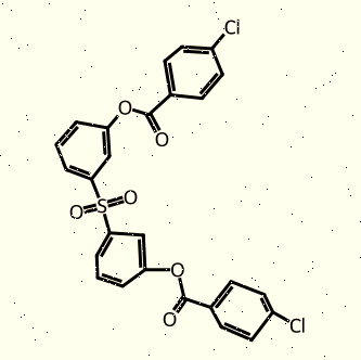 O=C(Oc1cccc(S(=O)(=O)c2cccc(OC(=O)c3ccc(Cl)cc3)c2)c1)c1ccc(Cl)cc1